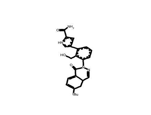 CC(C)(C)C1=CC=C2C(=O)N(c3cccc(-c4c[nH]c(C(N)=O)c4)c3CO)N=CC2C1